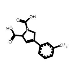 Cc1cccc(C2=CC(C(=O)O)N(C(=O)O)C2)c1